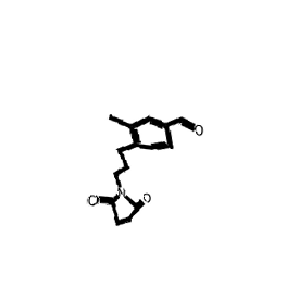 Cc1cc(C=O)ccc1CCCN1C(=O)CCC1=O